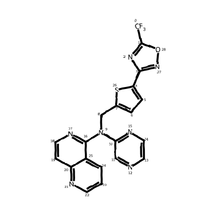 FC(F)(F)c1nc(-c2ccc(CN(c3cnccn3)c3nccc4ncccc34)s2)no1